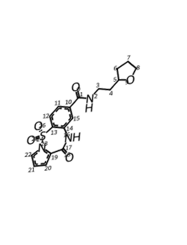 O=C(NCCC1CCCO1)c1ccc2c(c1)NC(=O)c1cccn1S2(=O)=O